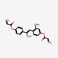 C=CC(=O)Oc1ccc(/C(C=O)=C/c2ccc(OC(=O)C=C)cc2OC)cc1